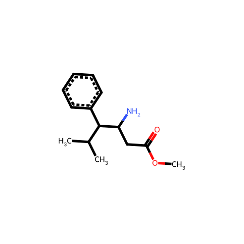 COC(=O)CC(N)C(c1ccccc1)C(C)C